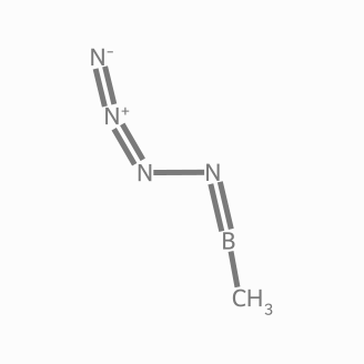 CB=NN=[N+]=[N-]